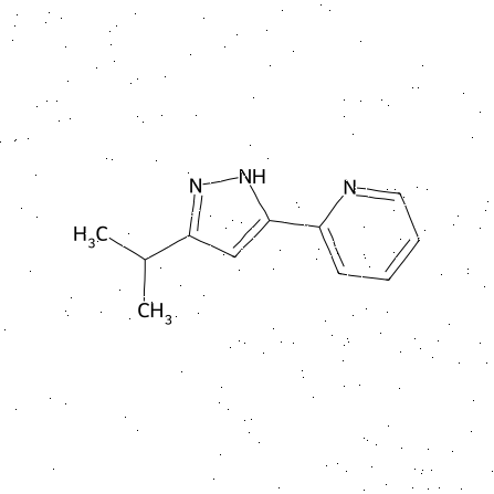 CC(C)c1cc(-c2ccccn2)[nH]n1